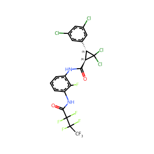 O=C(Nc1cccc(NC(=O)C(F)(F)C(F)(F)C(F)(F)F)c1F)[C@H]1[C@H](c2cc(Cl)cc(Cl)c2)C1(Cl)Cl